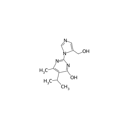 Cc1nc(-n2cncc2CO)nc(O)c1C(C)C